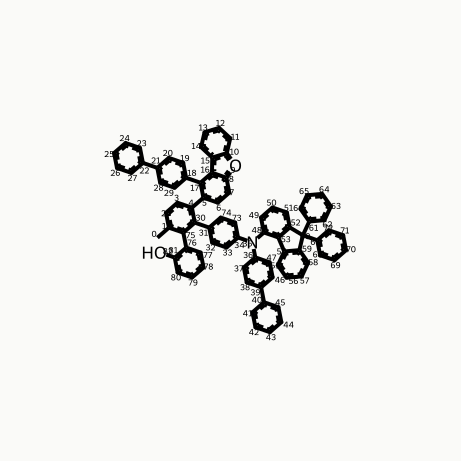 Cc1ccc(-c2ccc3oc4ccccc4c3c2-c2ccc(-c3ccccc3)cc2)c(-c2ccc(N(c3ccc(-c4ccccc4)cc3)c3cccc4c3-c3ccccc3C4(c3ccccc3)c3ccccc3)cc2)c1-c1ccccc1O